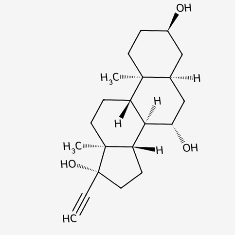 C#C[C@]1(O)CC[C@H]2[C@@H]3[C@@H](O)C[C@@H]4C[C@H](O)CC[C@]4(C)[C@H]3CC[C@@]21C